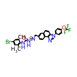 Cc1cc(Br)cc(C)c1NC(=O)NS/N=C/c1ccc2c(ccc3c2ncn3-c2ccc(OC(F)(F)F)cc2)c1